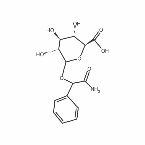 NC(=O)C(OC1O[C@H](C(=O)O)[C@@H](O)[C@H](O)[C@H]1O)c1ccccc1